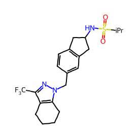 CC(C)S(=O)(=O)NC1Cc2ccc(Cn3nc(C(F)(F)F)c4c3CCCC4)cc2C1